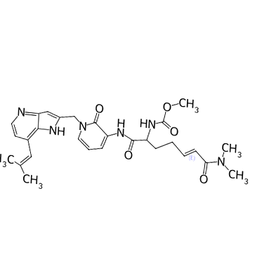 COC(=O)NC(CC/C=C/C(=O)N(C)C)C(=O)Nc1cccn(Cc2cc3nccc(C=C(C)C)c3[nH]2)c1=O